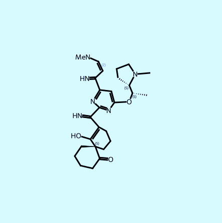 CN/C=C\C(=N)c1cc(O[C@@H](C)[C@@H]2CCCN2C)nc(C(=N)C2=C(O)[C@]3(CCCCC3=O)CCC2)n1